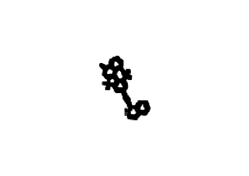 Cc1cc2c3c4c(cccc14)C(C)(C)c1cc(C#Cc4nccc5ccccc45)cc(c1-3)C2(C)C